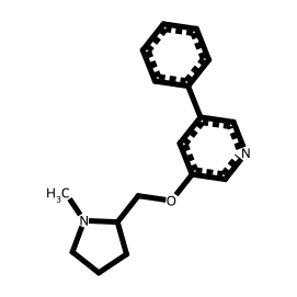 CN1CCCC1COc1cncc(-c2ccccc2)c1